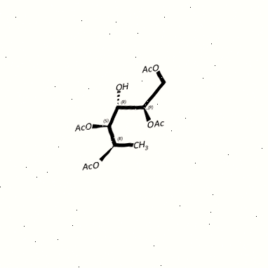 CC(=O)OC[C@@H](OC(C)=O)[C@@H](O)[C@H](OC(C)=O)[C@@H](C)OC(C)=O